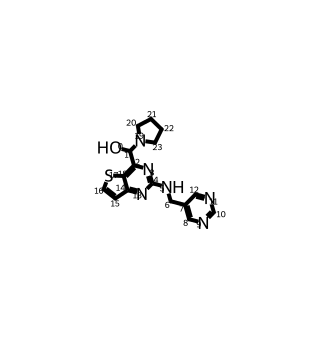 OC(c1nc(NCc2cncnc2)nc2ccsc12)N1CCCC1